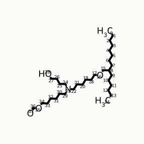 CCCCCCCCC(CCCCCC)COCCCCCCN(CCCCO)CCCCCCOC=O